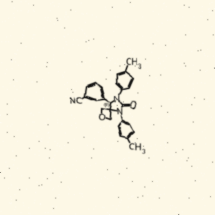 Cc1ccc(N2C(=O)N(c3ccc(C)cc3)C3(COC3)[C@H]2c2cccc(C#N)c2)cc1